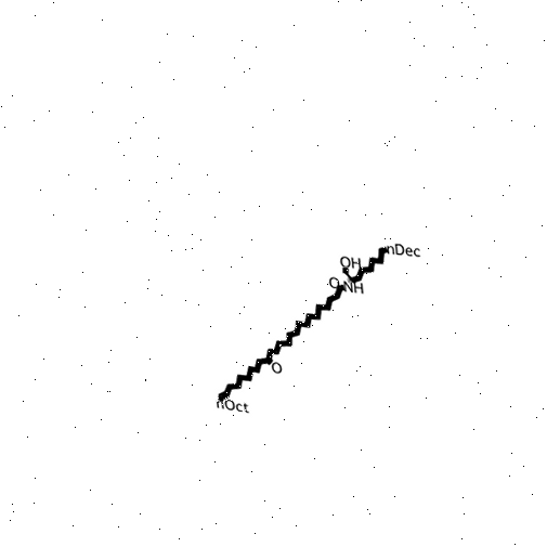 CCCCCCCCC=CCCCCCCCC(=O)CCCCCCCCCCCCCCC(=O)N[C@@H](CO)CCCCCCCCCCCCCCCC